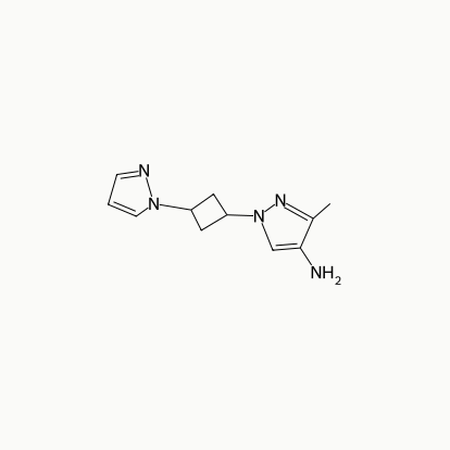 Cc1nn(C2CC(n3cccn3)C2)cc1N